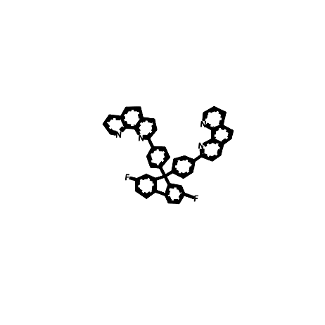 Fc1ccc2c(c1)C(c1ccc(-c3ccc4ccc5cccnc5c4n3)cc1)(c1ccc(-c3ccc4ccc5cccnc5c4n3)cc1)c1cc(F)ccc1-2